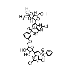 CC1(C)O[C@@H]2[C@@H](CO)OC(c3cn(S(=O)(=O)c4cccc(OC[C@H]5OC(c6cn(S(=O)(=O)c7ccccc7)c7c(Cl)nc(Cl)nc67)[C@H](O)[C@@H]5O)c4)c4c(Cl)nc(Cl)nc34)[C@@H]2O1